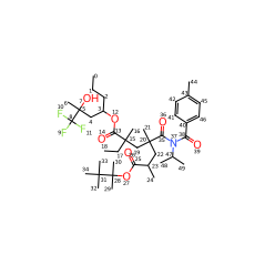 CCCC(CC(C)(O)C(F)(F)F)OC(=O)C(C)(CC)CC(C)(CC(C)C(=O)OC(C)(C)C(C)(C)C)C(=O)N(C(=O)c1ccc(C)cc1)C(C)C